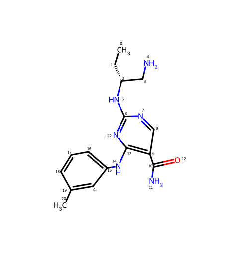 CC[C@H](CN)Nc1ncc(C(N)=O)c(Nc2cccc(C)c2)n1